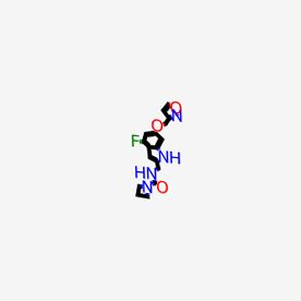 O=C(NCc1cc2c(F)cc(OCc3ccon3)cc2[nH]1)N1CCC1